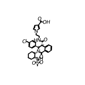 CS(=O)(=O)N[C@H]1CCCC[C@@H]1N1C(=O)c2ccccc2[C@@H](C(=O)NCCn2ccc(C(=O)O)c2)[C@@H]1c1ccc(Cl)cc1